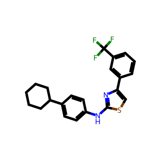 FC(F)(F)c1cccc(-c2csc(Nc3ccc(C4CCCCC4)cc3)n2)c1